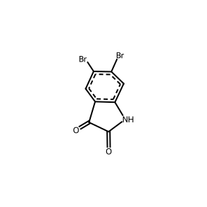 O=C1Nc2cc(Br)c(Br)cc2C1=O